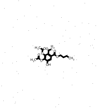 CCCCOC(=O)c1cc(O)c(OC(C)=O)c(OC(C)=O)c1C(C)=O